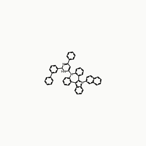 C1=C(N2c3ccccc3-c3c(n(-c4ccc5ccccc5c4)c4ccccc34)-c3ccccc32)NC(c2cccc(-c3ccccc3)c2)N=C1c1ccccc1